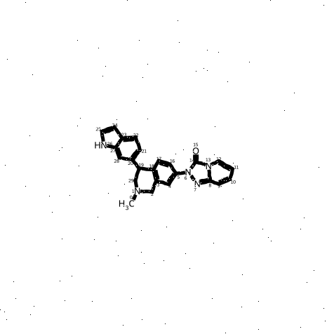 CN1Cc2cc(-n3nc4ccccn4c3=O)ccc2C(c2ccc3cc[nH]c3c2)C1